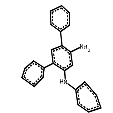 Nc1cc(Nc2ccccc2)c(-c2ccccc2)cc1-c1ccccc1